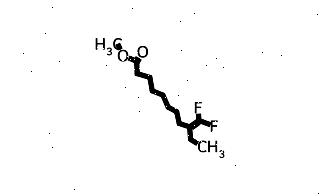 CCC(CCCCCCCC(=O)OC)=C(F)F